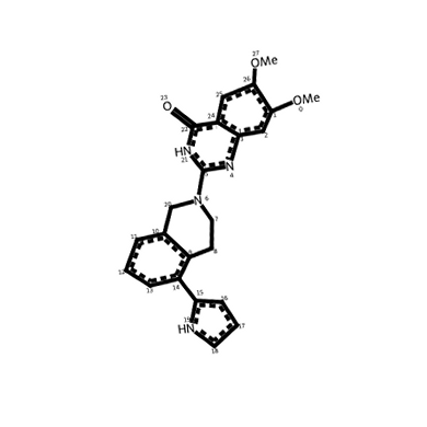 COc1cc2nc(N3CCc4c(cccc4-c4ccc[nH]4)C3)[nH]c(=O)c2cc1OC